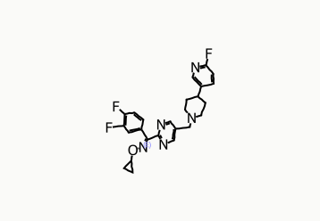 Fc1ccc(C2CCN(Cc3cnc(/C(=N/OC4CC4)c4ccc(F)c(F)c4)nc3)CC2)cn1